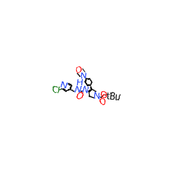 CC(C)(C)OC(=O)N1CCc2c(c3ccc(N4CCOCC4)cc3n2C(=O)NCc2ccnc(Cl)c2)C1